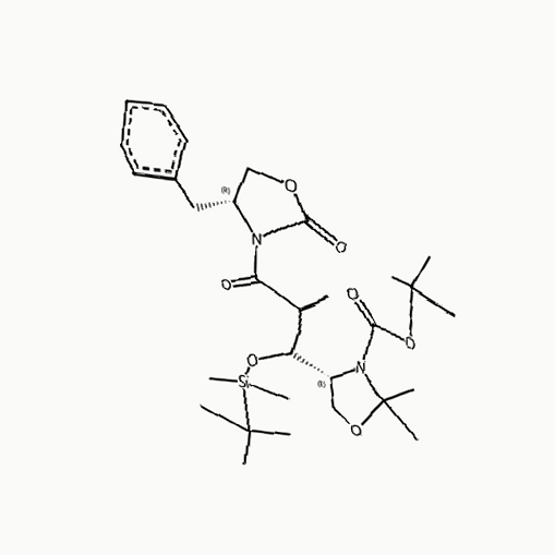 CC(C(=O)N1C(=O)OC[C@H]1Cc1ccccc1)C(O[Si](C)(C)C(C)(C)C)[C@H]1COC(C)(C)N1C(=O)OC(C)(C)C